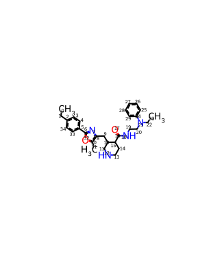 CCc1ccc(-c2nc(CC3CNCCC3C(=O)NCCN(CC)c3ccccc3)c(C)o2)cc1